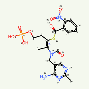 C/C(=C(\CCOP(=O)(O)O)SC(=O)c1ccccc1[N+](=O)[O-])N(C=O)Cc1cnc(C)nc1N